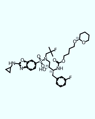 CC(C)(F)CN(C[C@@H](O)[C@H](Cc1cccc(F)c1)NC(=O)OCCCCO[C@H]1CCCCO1)S(=O)(=O)c1ccc2nc(NC3CC3)oc2c1